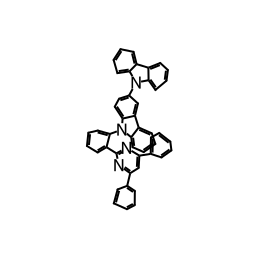 c1ccc(-c2cc(-c3ccccc3)nc(-c3ccccc3-n3c4ccccc4c4cc(-n5c6ccccc6c6ccccc65)ccc43)n2)cc1